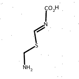 NCSC=NC(=O)O